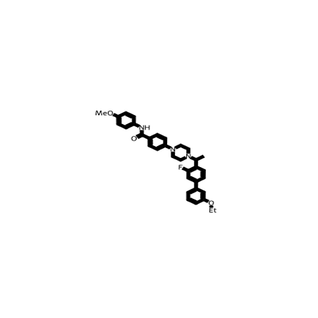 CCOc1cccc(-c2ccc(C(C)N3CCN(c4ccc(C(=O)Nc5ccc(OC)cc5)cc4)CC3)c(F)c2)c1